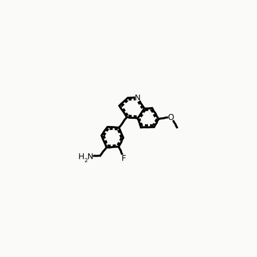 COc1ccc2c(-c3ccc(CN)c(F)c3)ccnc2c1